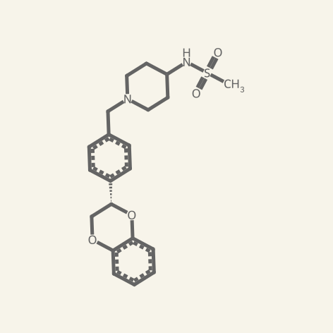 CS(=O)(=O)NC1CCN(Cc2ccc([C@H]3COc4ccccc4O3)cc2)CC1